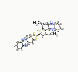 CCCCC(Sc1cc2nc3ccccc3nc2cc1C)=C1Sc2cc3nc4ccccc4nc3cc2S1